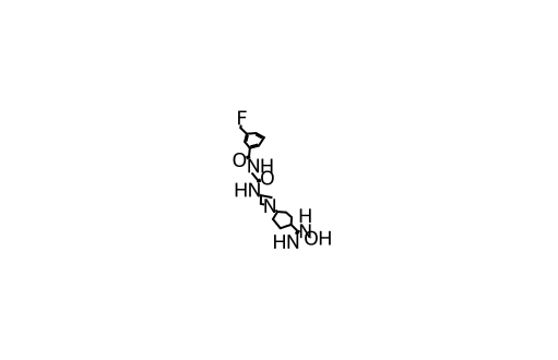 N=C(NO)C1CCC(N2CC(NC(=O)CNC(=O)c3cccc(CF)c3)C2)CC1